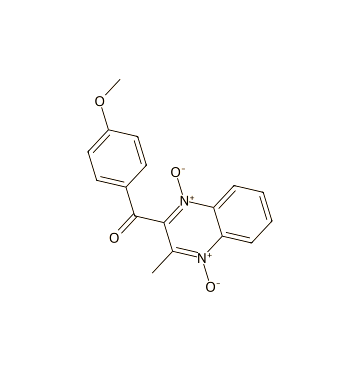 COc1ccc(C(=O)c2c(C)[n+]([O-])c3ccccc3[n+]2[O-])cc1